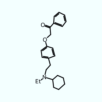 CCN(CCc1ccc(OCC(=O)c2ccccc2)cc1)C1CCCCC1